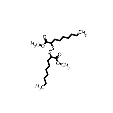 CCCCCCCC(SSC(CCCCCCC)C(=O)OC)C(=O)OC